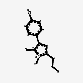 CCCc1cc(-c2ccc(Cl)cc2)c(C)n1C